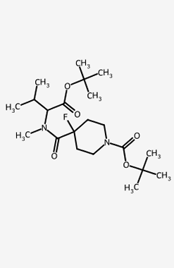 CC(C)C(C(=O)OC(C)(C)C)N(C)C(=O)C1(F)CCN(C(=O)OC(C)(C)C)CC1